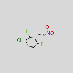 O=[N+]([O-])/C=C/c1c(F)ccc(Cl)c1F